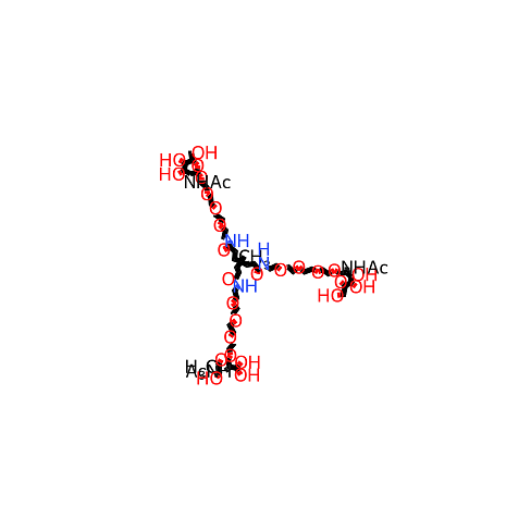 CC(=O)NC(C(O)O)C(OCCOCCOCCOCCNC(=O)CCC(C)(CCC(=O)NCCOCCOCCOCCOC1OC(CO)C(O)C(O)C1NC(C)=O)CCC(=O)NCCOCCOCCOCCOC1OC(CO)C(O)C(O)C1NC(C)=O)OC(C)CO